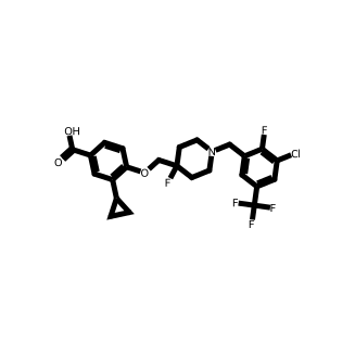 O=C(O)c1ccc(OCC2(F)CCN(Cc3cc(C(F)(F)F)cc(Cl)c3F)CC2)c(C2CC2)c1